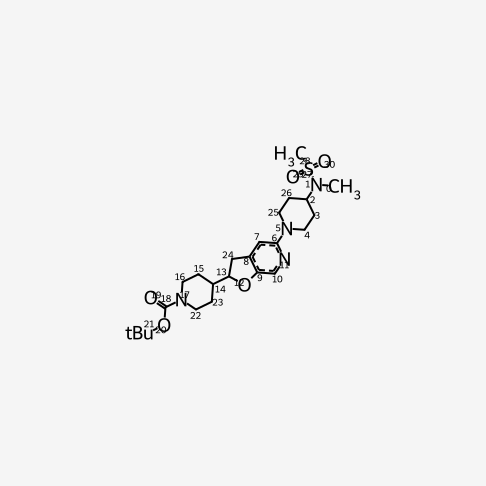 CN(C1CCN(c2cc3c(cn2)OC(C2CCN(C(=O)OC(C)(C)C)CC2)C3)CC1)S(C)(=O)=O